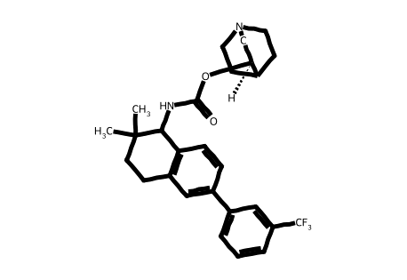 CC1(C)CCc2cc(-c3cccc(C(F)(F)F)c3)ccc2C1NC(=O)O[C@H]1CN2CCC1CC2